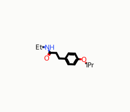 CCNC(=O)CCc1ccc(OC(C)C)cc1